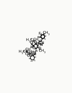 CO[C@@H]1[C@@H](n2cc(-c3ccc(C)c(F)c3F)nn2)[C@H]2OC(C)(C)OC[C@H]2O[C@@H]1CNCC1(NC(=O)OC(C)(C)C)CCCCC1